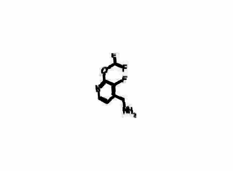 NCc1ccnc(OC(F)F)c1F